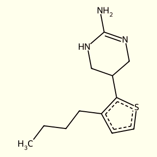 CCCCc1ccsc1C1CN=C(N)NC1